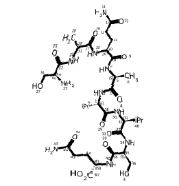 CC(C)[C@H](NC(=O)[C@H](C)NC(=O)[C@H](CCC(N)=O)NC(=O)[C@H](C)NC(=O)[C@@H](N)CO)C(=O)N[C@H](C(=O)N[C@@H](CO)C(=O)N[C@@H](CCC(N)=O)C(=O)O)C(C)C